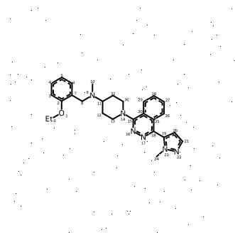 CCOc1ccccc1CN(C)C1CCN(c2nnc(-c3ccnn3C)c3ccccc23)CC1